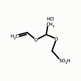 C=COC(C)OCS(=O)(=O)O.Cl